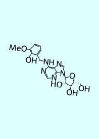 COc1cccc(CNc2ncnc3c2ncn3C2O[C@H](CO)[C@@H](O)[C@@H]2O)c1O